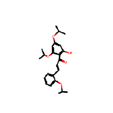 CC(C)Oc1cc(O)c(C(=O)/C=C/c2ccccc2OC(C)C)c(OC(C)C)c1